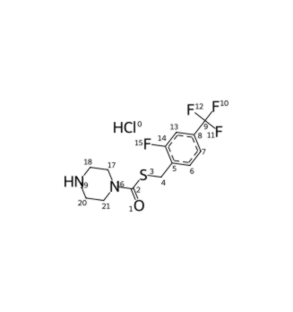 Cl.O=C(SCc1ccc(C(F)(F)F)cc1F)N1CCNCC1